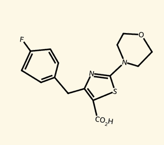 O=C(O)c1sc(N2CCOCC2)nc1Cc1ccc(F)cc1